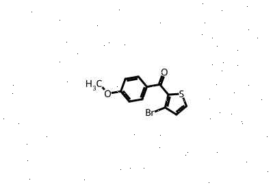 COc1ccc(C(=O)c2sccc2Br)cc1